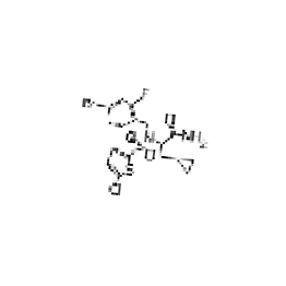 NC(=O)C(CC1CC1)N(Cc1ccc(Br)cc1F)S(=O)(=O)c1ccc(Cl)s1